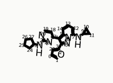 c1coc(-c2nn3c(NC4CC4)cccc3c2-c2ccnc(NC3CCCC3)n2)c1